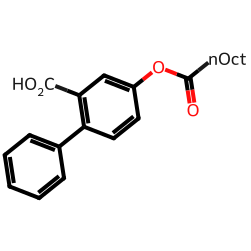 CCCCCCCCC(=O)Oc1ccc(-c2ccccc2)c(C(=O)O)c1